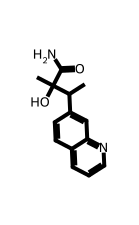 CC(c1ccc2cccnc2c1)C(C)(O)C(N)=O